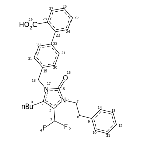 CCCCc1c(C(F)F)n(CCc2ccccc2)c(=O)n1Cc1ccc(-c2ccccc2C(=O)O)cc1